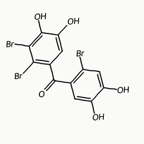 O=C(c1cc(O)c(O)cc1Br)c1cc(O)c(O)c(Br)c1Br